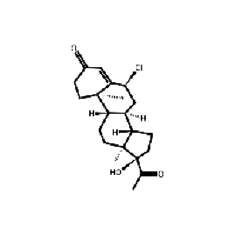 CC(=O)[C@@]1(O)CC[C@H]2[C@@H]3C[C@H](Cl)C4=CC(=O)CC[C@]4(C)[C@H]3CC[C@@]21C